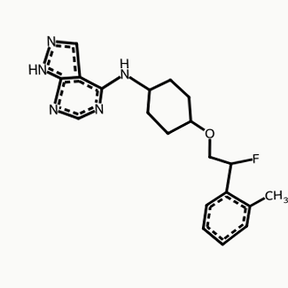 Cc1ccccc1C(F)COC1CCC(Nc2ncnc3[nH]ncc23)CC1